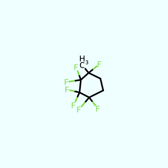 CC1(F)CCC(F)(F)C(F)(F)C1(F)F